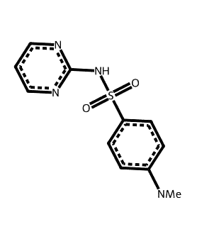 CNc1ccc(S(=O)(=O)Nc2ncccn2)cc1